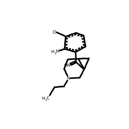 CCCN1CCC2CC2(C(=N)c2cccc(Cl)c2N)C1